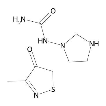 CC1=NSCC1=O.NC(=O)NN1CCNC1